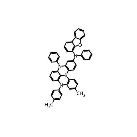 Cc1ccc(N2c3cc(C)ccc3B3c4ccc(N(c5ccccc5)c5cccc6c5oc5ccccc56)cc4N(c4ccccc4)c4cccc2c43)cc1